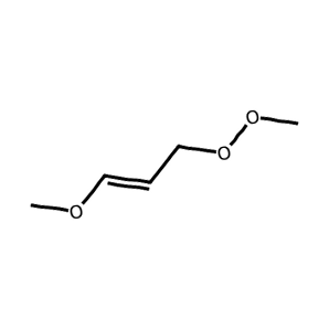 CO/C=C/COOC